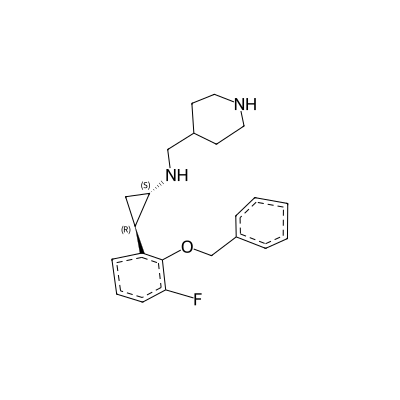 Fc1cccc([C@H]2C[C@@H]2NCC2CCNCC2)c1OCc1ccccc1